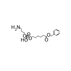 NCCCOP(=O)(O)OCCCCCC(=O)OCc1ccccc1